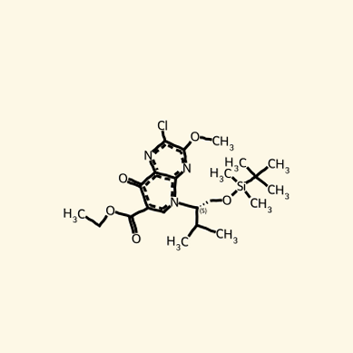 CCOC(=O)c1cn([C@H](CO[Si](C)(C)C(C)(C)C)C(C)C)c2nc(OC)c(Cl)nc2c1=O